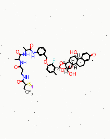 Cc1ccc(OCc2cccc(NC(=O)C(C)NC(=O)C(C)NC(=O)CCNC(=O)C(CC(F)(F)F)SI)c2)c(F)c1[C@H]1O[C@@H]2C[C@H]3[C@@H]4CCC5=CC(=O)C=C[C@]5(C)[C@H]4[C@@H](O)C[C@]3(C)[C@]2(C(=O)CO)O1